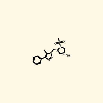 Cc1c(-c2ccccc2)nnn1C[C@@H]1C[C@@H](S)CN1S(C)(=O)=O